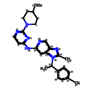 COC1CCN(c2nccc(Nc3cc4c(cn3)nc(C)n4C(C)c3ccc(C#N)cc3)n2)CC1